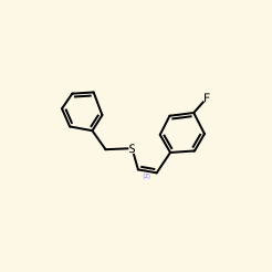 Fc1ccc(/C=C\SCc2ccccc2)cc1